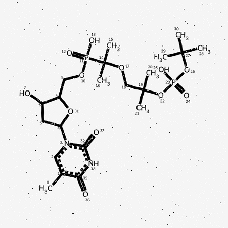 Cc1cn(C2CC(O)C(COP(=O)(O)C(C)(C)OCC(C)(C)OP(=O)(O)OC(C)(C)C)O2)c(=O)[nH]c1=O